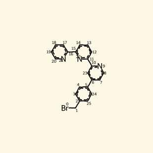 BrCc1ccc(-c2ccnc(-c3cccc(-c4ccccn4)n3)c2)cc1